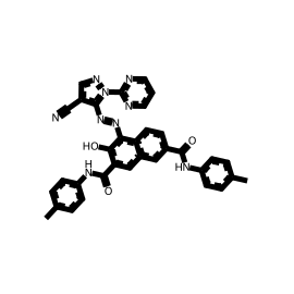 Cc1ccc(NC(=O)c2ccc3c(/N=N/c4c(C#N)cnn4-c4ncccn4)c(O)c(C(=O)Nc4ccc(C)cc4)cc3c2)cc1